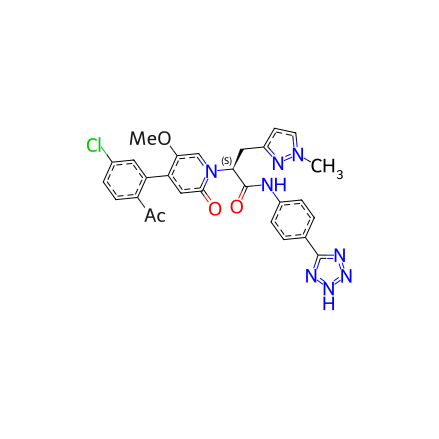 COc1cn([C@@H](Cc2ccn(C)n2)C(=O)Nc2ccc(-c3nn[nH]n3)cc2)c(=O)cc1-c1cc(Cl)ccc1C(C)=O